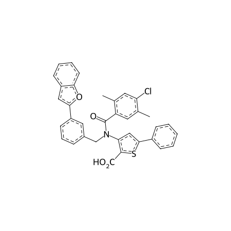 Cc1cc(C(=O)N(Cc2cccc(-c3cc4ccccc4o3)c2)c2cc(-c3ccccc3)sc2C(=O)O)c(C)cc1Cl